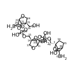 BC1O[C@@]2(COP(=O)(O)OC3C4OC[C@]3(COP(=O)(O)OC3C5OC[C@]3(CO)OC5B)OC4B)CCC1C2O